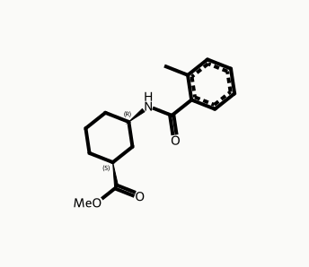 COC(=O)[C@H]1CCC[C@@H](NC(=O)c2ccccc2C)C1